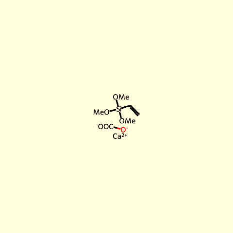 C=C[Si](OC)(OC)OC.O=C([O-])[O-].[Ca+2]